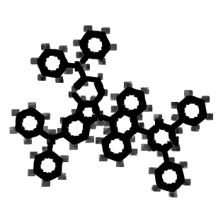 C=C(/C=C\c1c(C)c2cc(N(c3ccccc3)c3ccccc3)ccc2n1-c1c2ccccc2c(-c2nc(-c3ccccc3)nc(-c3ccccc3)n2)c2ccccc12)N(c1ccccc1)c1ccccc1